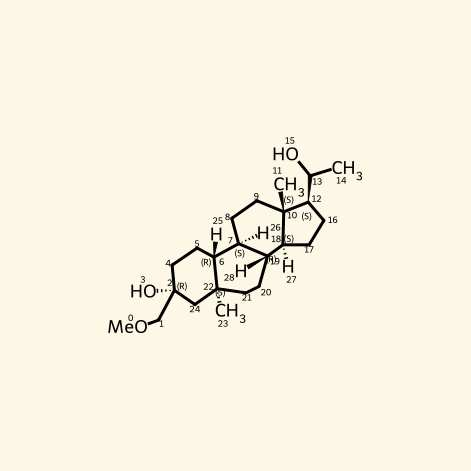 COC[C@@]1(O)CC[C@@H]2[C@H]3CC[C@]4(C)[C@@H](C(C)O)CC[C@H]4[C@@H]3CC[C@@]2(C)C1